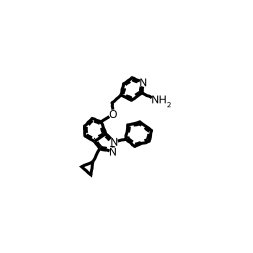 Nc1cc(COc2cccc3c(C4CC4)nn(-c4ccccc4)c23)ccn1